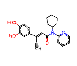 C#C/C(=C\C(=O)N(c1ccccn1)C1CCCCC1)c1ccc(O)c(O)c1